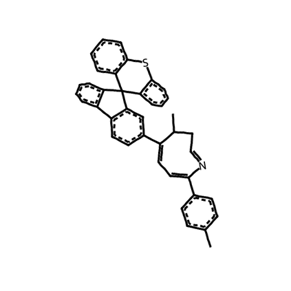 Cc1ccc(C2=C/C=C(/c3ccc4c(c3)C3(c5ccccc5Sc5ccccc53)c3ccccc3-4)C(C)C\C=N\2)cc1